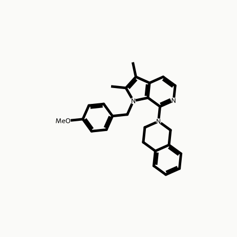 COc1ccc(Cn2c(C)c(C)c3ccnc(N4CCc5ccccc5C4)c32)cc1